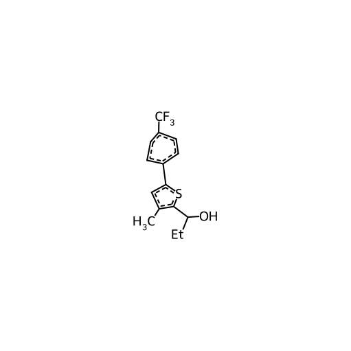 CCC(O)c1sc(-c2ccc(C(F)(F)F)cc2)cc1C